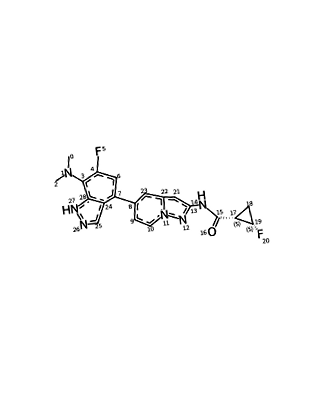 CN(C)c1c(F)cc(-c2ccn3nc(NC(=O)[C@@H]4C[C@@H]4F)cc3c2)c2cn[nH]c12